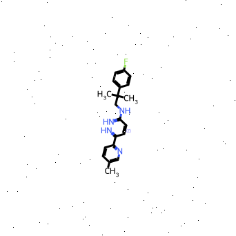 Cc1ccc(C(=N)/C=C\C(=N)NCC(C)(C)c2ccc(F)cc2)nc1